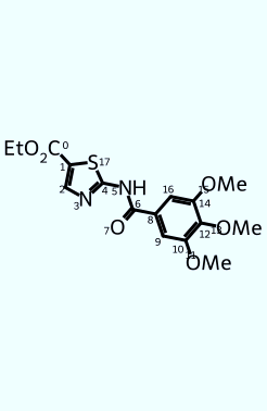 CCOC(=O)c1cnc(NC(=O)c2cc(OC)c(OC)c(OC)c2)s1